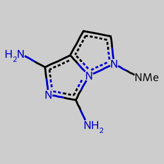 CNn1ccc2c(N)nc(N)n21